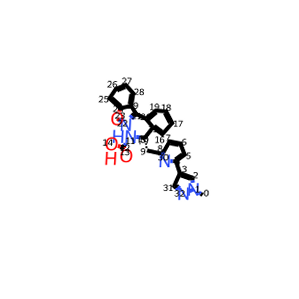 Cn1cc(-c2cccc(C[C@H](NC(=O)O)c3ccccc3-c3noc4ccccc34)n2)cn1